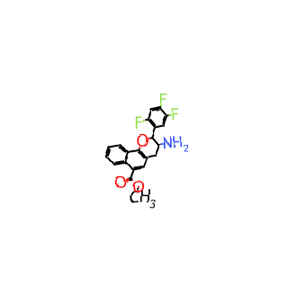 COC(=O)c1cc2c(c3ccccc13)OC(c1cc(F)c(F)cc1F)[C@@H](N)C2